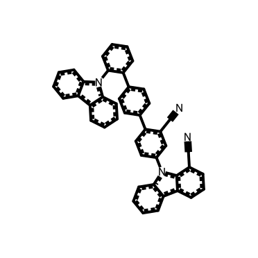 N#Cc1cc(-n2c3ccccc3c3cccc(C#N)c32)ccc1-c1ccc(-c2ccccc2-n2c3ccccc3c3ccccc32)cc1